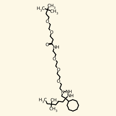 CCC(C)(C)CCCC1(C2CCCCCCC2)CN(CCOCCOCCOCCNC(=O)CCOCCOCCC(C)(C)C)NN1